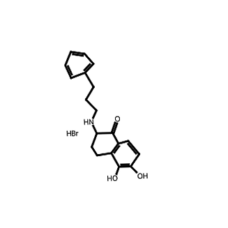 Br.O=C1c2ccc(O)c(O)c2CCC1NCCCc1ccccc1